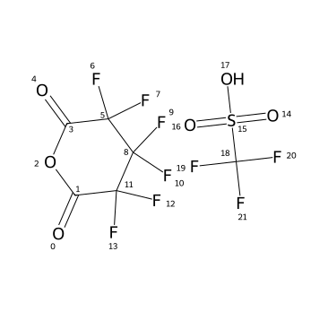 O=C1OC(=O)C(F)(F)C(F)(F)C1(F)F.O=S(=O)(O)C(F)(F)F